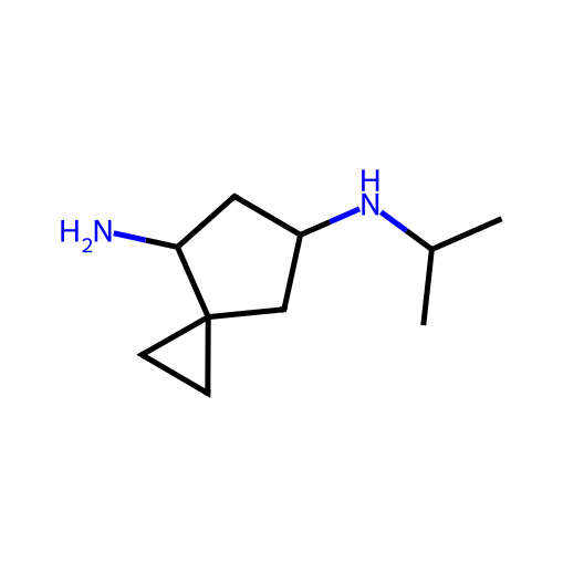 CC(C)NC1CC(N)C2(CC2)C1